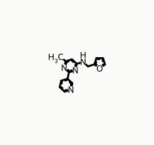 Cc1cc(NCc2ccco2)nc(-c2cccnc2)n1